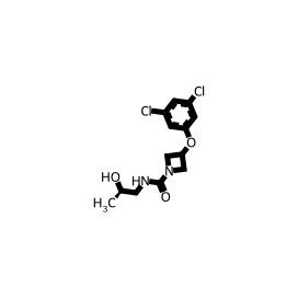 C[C@@H](O)CNC(=O)N1CC(Oc2cc(Cl)cc(Cl)c2)C1